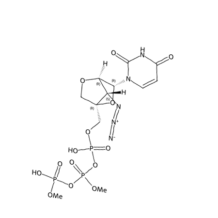 COP(=O)(O)OP(=O)(OC)OP(=O)(O)OC[C@@]12CO[C@@H]([C@H](n3ccc(=O)[nH]c3=O)O1)[C@@H]2N=[N+]=[N-]